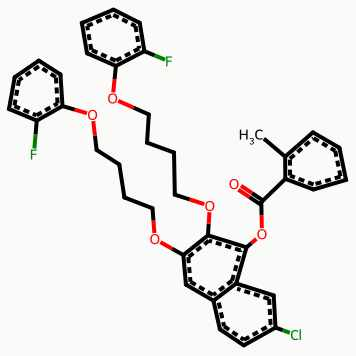 Cc1ccccc1C(=O)Oc1c(OCCCCOc2ccccc2F)c(OCCCCOc2ccccc2F)cc2ccc(Cl)cc12